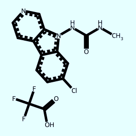 CNC(=O)Nn1c2cnccc2c2ccc(Cl)cc21.O=C(O)C(F)(F)F